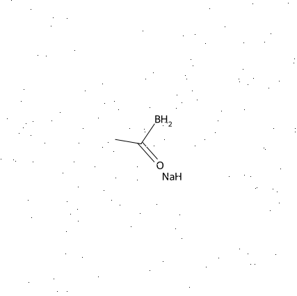 BC(C)=O.[NaH]